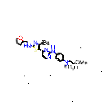 CCC(C)c1nc(NCC2CCCO2)sc1-c1ccnc(Nc2ccc(N(CCOC)C(=O)O)cc2)n1